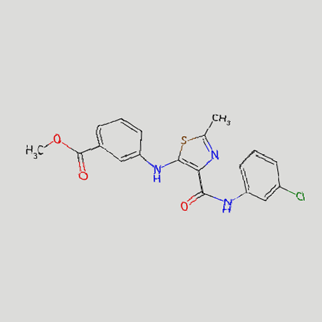 COC(=O)c1cccc(Nc2sc(C)nc2C(=O)Nc2cccc(Cl)c2)c1